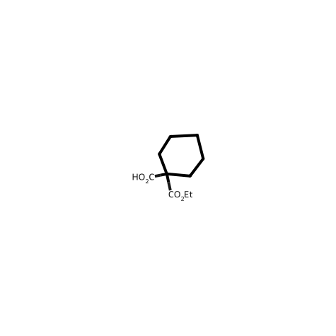 CCOC(=O)C1(C(=O)O)CCCCC1